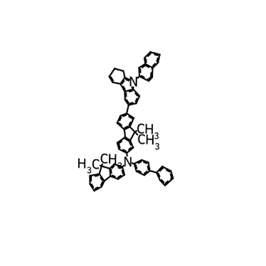 CC1(C)c2ccccc2-c2ccc(N(c3ccc(-c4ccccc4)cc3)c3ccc4c(c3)C(C)(C)c3cc(-c5ccc6c(c5)c5c(n6-c6ccc7ccccc7c6)CCC=C5)ccc3-4)cc21